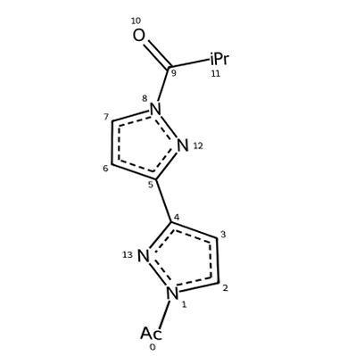 CC(=O)n1ccc(-c2ccn(C(=O)C(C)C)n2)n1